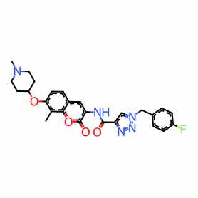 Cc1c(OC2CCN(C)CC2)ccc2cc(NC(=O)c3cn(Cc4ccc(F)cc4)nn3)c(=O)oc12